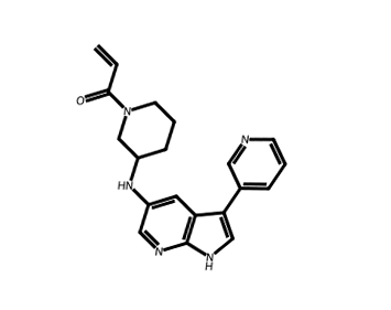 C=CC(=O)N1CCCC(Nc2cnc3[nH]cc(-c4cccnc4)c3c2)C1